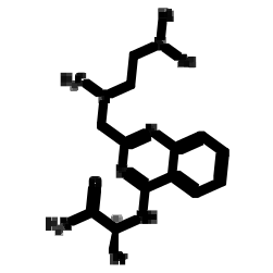 CCN(CCN(C)Cc1nc(N[C@H](C(N)=O)C(C)C)c2ccccc2n1)C(C)=O